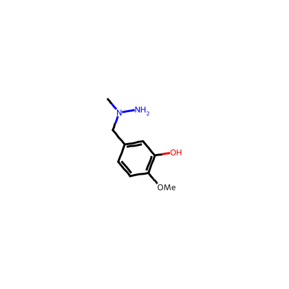 COc1ccc(CN(C)N)cc1O